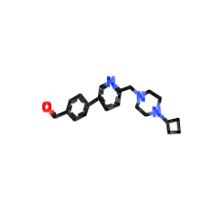 O=Cc1ccc(-c2ccc(CN3CCN(C4CCC4)CC3)nc2)cc1